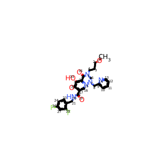 COCCCN1CN(Cc2ccccn2)n2cc(C(=O)NCc3ccc(F)cc3F)c(=O)c(O)c2C1=O